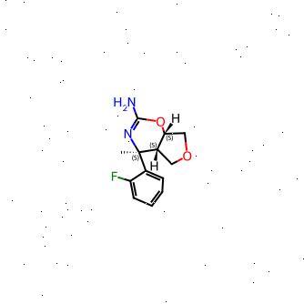 C[C@]1(c2ccccc2F)N=C(N)O[C@@H]2COC[C@@H]21